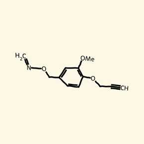 C#CCOc1ccc(CON=C)cc1OC